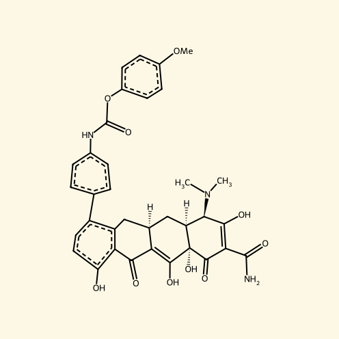 COc1ccc(OC(=O)Nc2ccc(-c3ccc(O)c4c3C[C@H]3C[C@H]5[C@@H](N(C)C)C(O)=C(C(N)=O)C(=O)[C@@]5(O)C(O)=C3C4=O)cc2)cc1